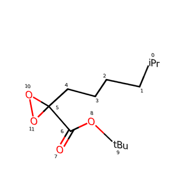 CC(C)CCCCC1(C(=O)OC(C)(C)C)OO1